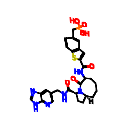 O=C(N[C@H]1CCCC[C@H]2CC[C@@H](C(=O)NCc3cnc4[nH]cnc4c3)N2C1=O)c1cc2cc(CP(=O)(O)O)ccc2s1